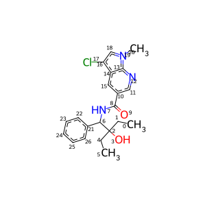 CCC(O)(CC)C(NC(=O)c1cnc2c(c1)c(Cl)cn2C)c1ccccc1